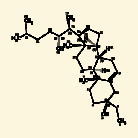 CC[C@]1(O)CC[C@@]2(C)C(=CC[C@H]3[C@@H]4CC[C@H]([C@H](C)[C@H](O)CCC(C)C)[C@@]4(C)CC[C@@H]32)C1